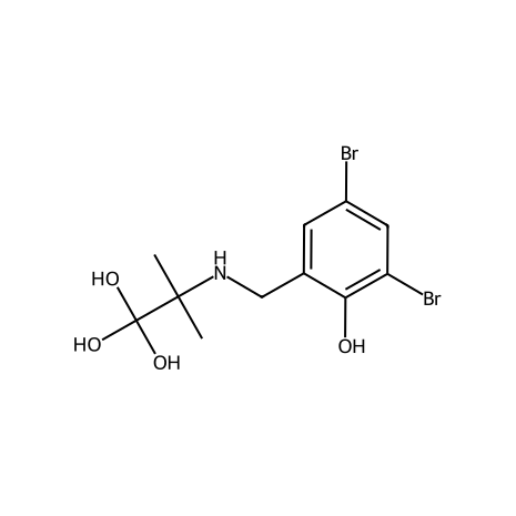 CC(C)(NCc1cc(Br)cc(Br)c1O)C(O)(O)O